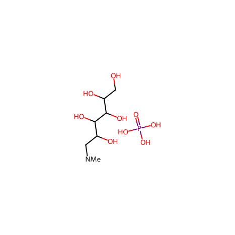 CNCC(O)C(O)C(O)C(O)CO.O=P(O)(O)O